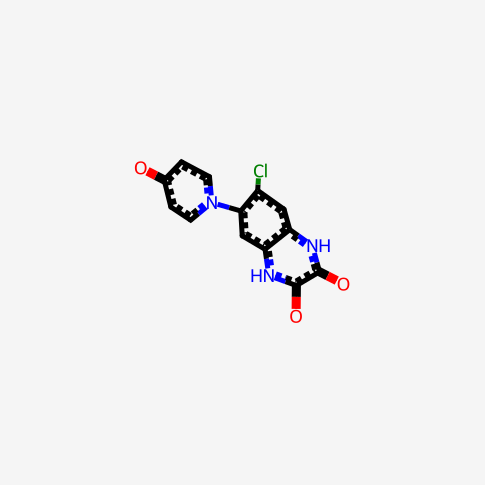 O=c1ccn(-c2cc3[nH]c(=O)c(=O)[nH]c3cc2Cl)cc1